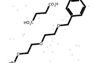 CCCCOCCOCCOCc1ccccc1.O=C(O)CCC(=O)O